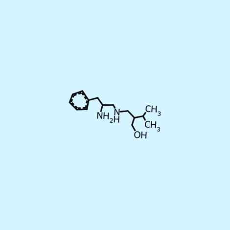 CC(C)C(CO)CNCC(N)Cc1ccccc1